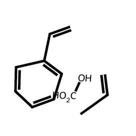 C=CC.C=Cc1ccccc1.O=C(O)O